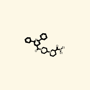 CCN(CC)C(=O)C1CCCN(C2CCN(C(=O)c3cc(-c4ccccc4)nc(-c4ccccc4)c3)CC2)C1